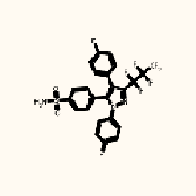 NS(=O)(=O)c1ccc(-c2c(-c3ccc(F)cc3)c(C(F)(F)C(F)(F)C(F)(F)F)nn2-c2ccc(F)cc2)cc1